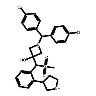 CS(=O)(=O)C(c1ccccc1C1CCNC1)C1(O)CN(C(c2ccc(Cl)cc2)c2ccc(Cl)cc2)C1